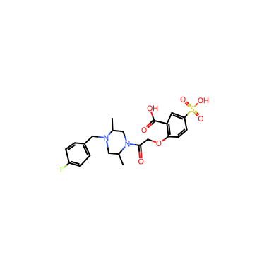 CC1CN(C(=O)COc2ccc(S(=O)(=O)O)cc2C(=O)O)C(C)CN1Cc1ccc(F)cc1